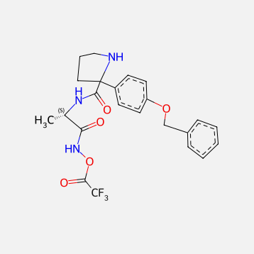 C[C@H](NC(=O)C1(c2ccc(OCc3ccccc3)cc2)CCCN1)C(=O)NOC(=O)C(F)(F)F